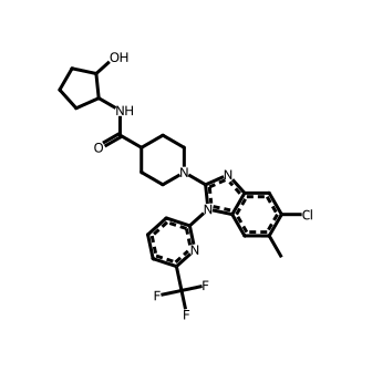 Cc1cc2c(cc1Cl)nc(N1CCC(C(=O)NC3CCCC3O)CC1)n2-c1cccc(C(F)(F)F)n1